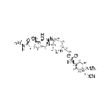 CCCNC(=O)C[C@H]1C[C@H](Cn2nnc3c2CCC2C(CC3)C2COC(=O)Nc2ccc(/C(=C/C#N)C(C)(C)C)cc2)[C@@H](O)[C@H]1O